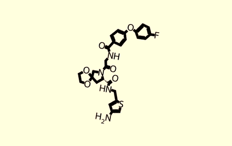 Nc1csc(CNC(=O)[C@@H]2CC3(CN2C(=O)CNC(=O)c2ccc(Oc4ccc(F)cc4)cc2)OCCO3)c1